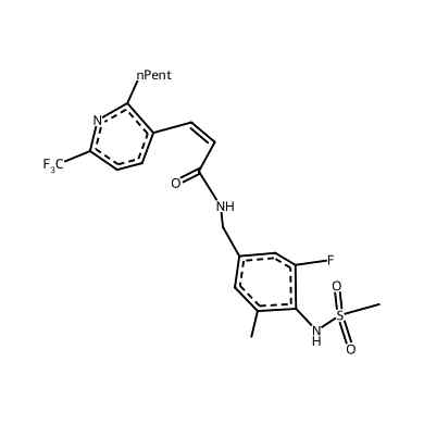 CCCCCc1nc(C(F)(F)F)ccc1/C=C\C(=O)NCc1cc(C)c(NS(C)(=O)=O)c(F)c1